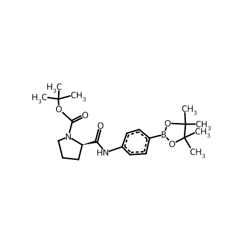 CC(C)(C)OC(=O)N1CCC[C@@H]1C(=O)Nc1ccc(B2OC(C)(C)C(C)(C)O2)cc1